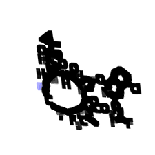 C[C@@H]1CC/C=C\[C@@H]2C[C@@]2(C(=O)NS(=O)(=O)C2(C)CC2)NC(=O)[C@@H]2C[C@@H](Oc3nc(OCC(F)F)cc4c(Cl)cccc34)CN2C(=O)[C@@H](N(C(=O)O)[C@H](C)C(F)(F)F)[C@H](C)C1